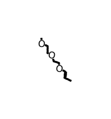 C/C=C/OCCOCCOC